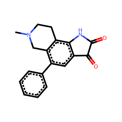 CN1CCc2c(c(-c3ccccc3)cc3c2NC(=O)C3=O)C1